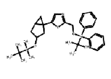 CC(C)(C)[Si](C)(C)OC1CC2CC2(c2cnc(CO[Si](c3ccccc3)(c3ccccc3)C(C)(C)C)s2)C1